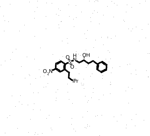 CC(C)CCc1cc([N+](=O)[O-])ccc1S(=O)(=O)NC[C@H](O)[CH]Cc1ccccc1